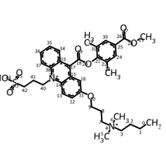 CCCC[N+](C)(C)CCCOc1ccc2c(c1)c(C(=O)Oc1c(C)cc(C(=O)OC)cc1C)c1ccccc1[n+]2CCCS(=O)(=O)O